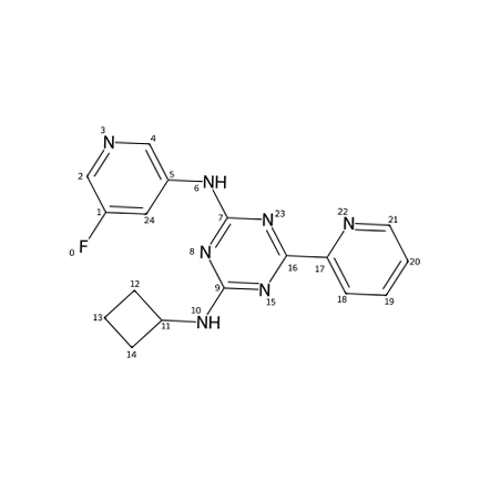 Fc1cncc(Nc2nc(NC3CCC3)nc(-c3ccccn3)n2)c1